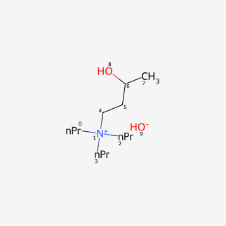 CCC[N+](CCC)(CCC)CCC(C)O.[OH-]